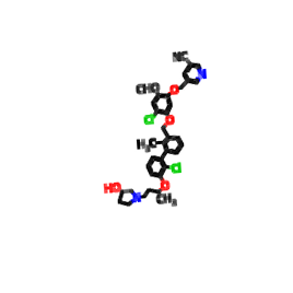 Cc1c(COc2cc(OCc3cncc(C#N)c3)c(C=O)cc2Cl)cccc1-c1cccc(OC(C)CCN2CCC(O)C2)c1Cl